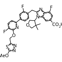 COc1nnc(COc2nc(-c3ccc(Cc4nc5c(F)cc(C(=O)O)cc5n4C4COCC4(C)C)c(F)c3)ccc2F)s1